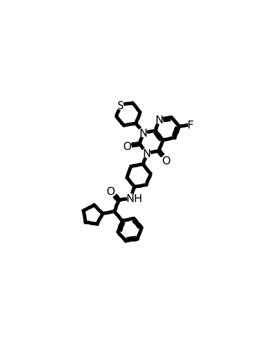 O=C(NC1CCC(n2c(=O)c3cc(F)cnc3n(C3CCSCC3)c2=O)CC1)C(c1ccccc1)C1CCCC1